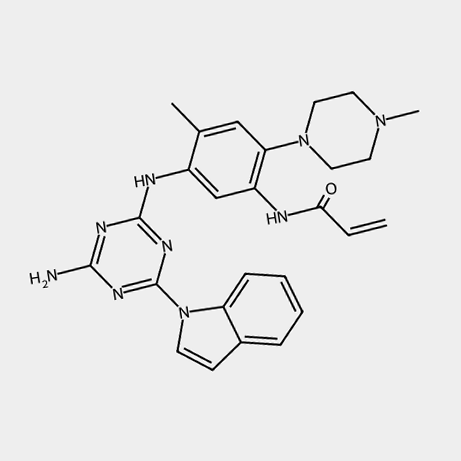 C=CC(=O)Nc1cc(Nc2nc(N)nc(-n3ccc4ccccc43)n2)c(C)cc1N1CCN(C)CC1